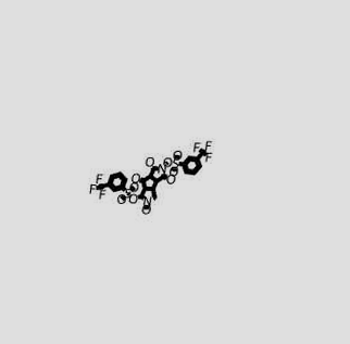 O=C1C2C(=O)N(OS(=O)(=O)c3cccc(C(F)(F)F)c3)C(=O)C2C2C[N+](=O)C(OS(=O)(=O)c3cccc(C(F)(F)F)c3)C12